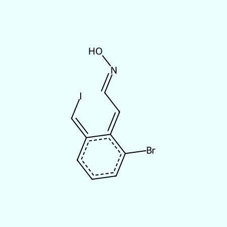 O/N=C/C=c1/c(Br)ccc/c1=C/I